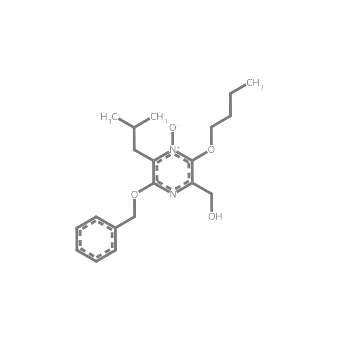 CCCCOc1c(CO)nc(OCc2ccccc2)c(CC(C)C)[n+]1[O-]